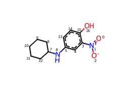 O=[N+]([O-])c1cc(NC2CCCCC2)ccc1O